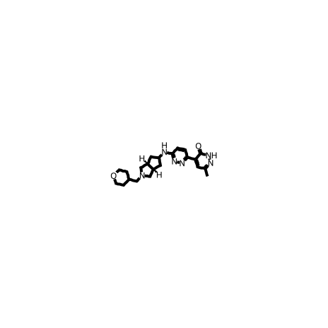 Cc1cc(-c2ccc(NC3C[C@@H]4CN(CC5CCOCC5)C[C@@H]4C3)nn2)c(=O)[nH]n1